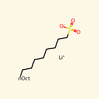 CCCCCCCCCCCCCCCCS(=O)(=O)[O-].[Li+]